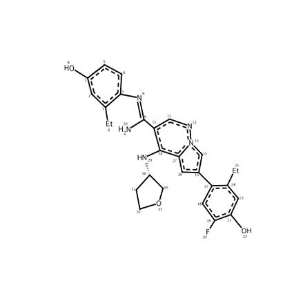 CCc1cc(O)ccc1/N=C(\N)c1cnn2cc(-c3cc(F)c(O)cc3CC)cc2c1N[C@H]1CCOC1